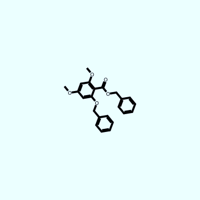 COc1cc(OC)c(C(=O)OCc2ccccc2)c(OCc2ccccc2)c1